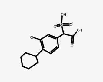 O=C(O)C(c1ccc(C2CCCCC2)c(Cl)c1)S(=O)(=O)O